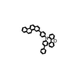 c1ccc(-c2ccc(N(c3ccc(-c4ccc5ccc6c7ccccc7ccc6c5c4)cc3)c3cccc4oc5ccccc5c34)cc2)cc1